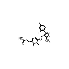 Cc1ccc(-c2nsc(C(F)(F)F)c2COC2=CC=C(CCC(=O)C#N)C(C)C2C)c(F)c1